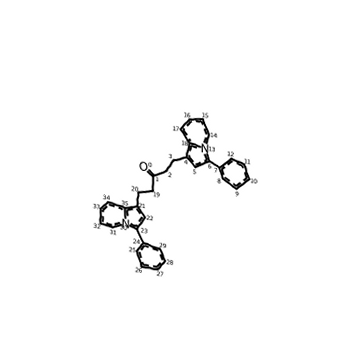 O=C(CCc1cc(-c2ccccc2)n2ccccc12)CCc1cc(-c2ccccc2)n2ccccc12